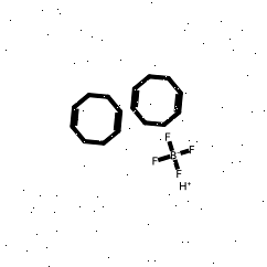 C1=CCCC=CCC1.C1=CCCC=CCC1.F[B-](F)(F)F.[H+]